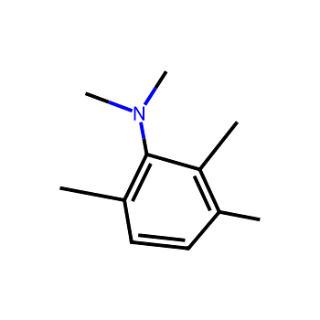 Cc1ccc(C)c(N(C)C)c1C